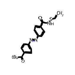 C=CSNC(=O)c1ccc(/N=N/c2ccc(C(=O)C(C)(C)C)cc2)cc1